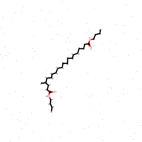 CCCCOC(=O)CCCCCCCCCCCCCCCC(C)CCC(=O)OCCCC